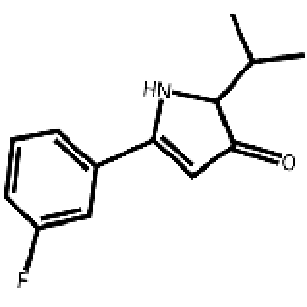 CC(C)C1NC(c2cccc(F)c2)=CC1=O